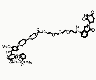 COc1cc(N2CCC(N3CCN(C(=O)COCCOCCOCCOCCNc4cccc5c4CN(C4CCC(=O)NC4=O)C5=O)CC3)CC2)ccc1Nc1ncc(Cl)c(Nc2ccccc2P(=O)(OC)OC)n1